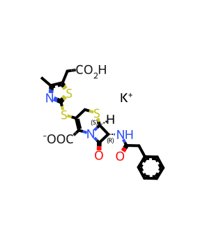 Cc1nc(SC2=C(C(=O)[O-])N3C(=O)[C@@H](NC(=O)Cc4ccccc4)[C@@H]3SC2)sc1CC(=O)O.[K+]